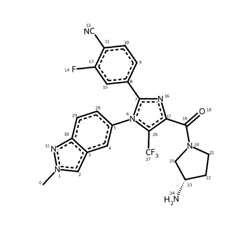 Cn1cc2cc(-n3c(-c4ccc(C#N)c(F)c4)nc(C(=O)N4CC[C@H](N)C4)c3C(F)(F)F)ccc2n1